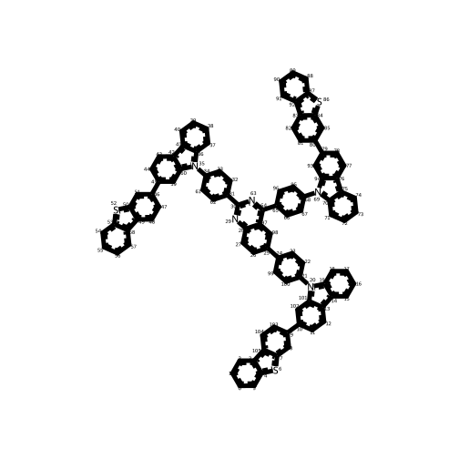 c1ccc2c(c1)sc1cc(-c3ccc4c5ccccc5n(-c5ccc(-c6ccc7nc(-c8ccc(-n9c%10ccccc%10c%10ccc(-c%11ccc%12c(c%11)sc%11ccccc%11%12)cc%109)cc8)nc(-c8ccc(-n9c%10ccccc%10c%10ccc(-c%11ccc%12c(c%11)sc%11ccccc%11%12)cc%109)cc8)c7c6)cc5)c4c3)ccc12